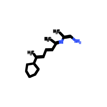 CC(=C/N)/N=C(C)/C=C/C=C(\C)C1CCCCC1